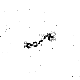 Cc1nn(C(C)COCCC(=O)N2CCN(c3cc(Cl)c(F)cn3)CC2)c2cn[nH]c(=O)c12